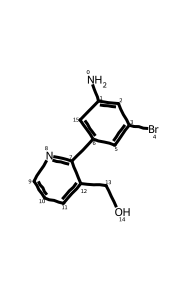 Nc1cc(Br)cc(-c2ncccc2CO)c1